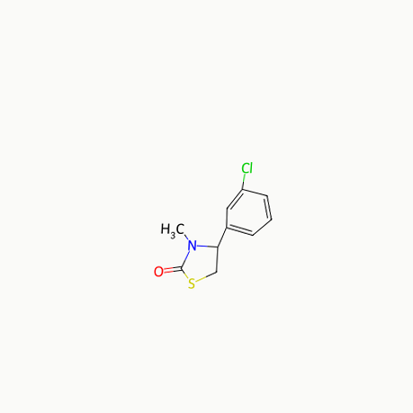 CN1C(=O)SCC1c1cccc(Cl)c1